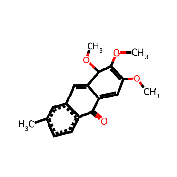 COC1=C(OC)C(OC)C2=Cc3cc(C)ccc3C(=O)C2=C1